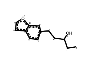 CCC(O)CCc1ccc2ccoc2c1